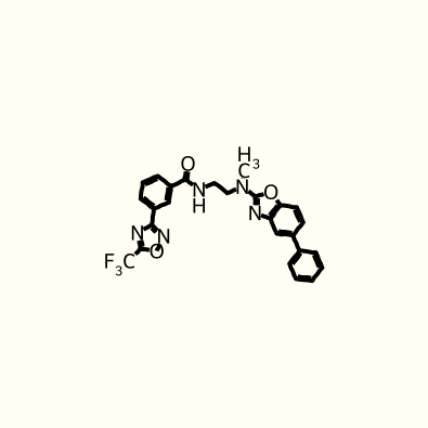 CN(CCNC(=O)c1cccc(-c2noc(C(F)(F)F)n2)c1)c1nc2cc(-c3ccccc3)ccc2o1